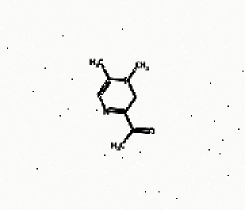 CC(=O)C1=NC=C(C)N(C)C1